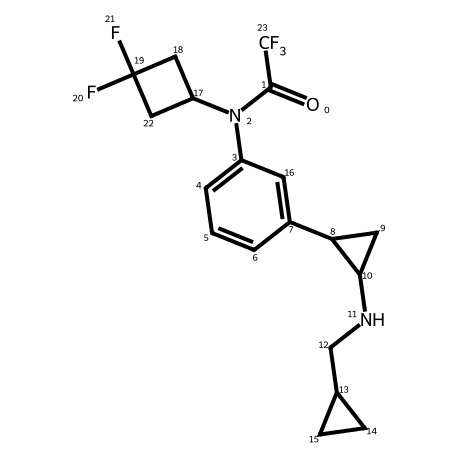 O=C(N(c1cccc(C2CC2NCC2CC2)c1)C1CC(F)(F)C1)C(F)(F)F